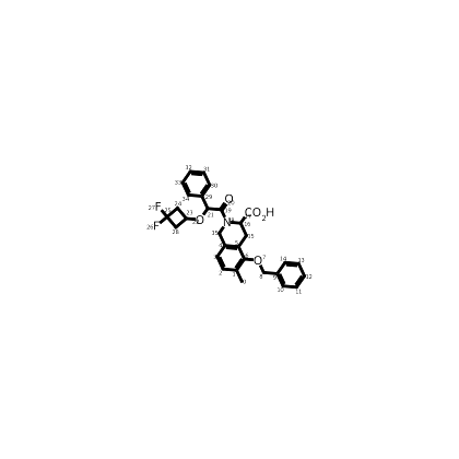 Cc1ccc2c(c1OCc1ccccc1)CC(C(=O)O)N(C(=O)C(OC1CC(F)(F)C1)c1ccccc1)C2